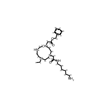 CCN1CCNCCN(CC(=O)OCc2ccccc2)CCN(CC(=O)NCCCCCCN)CC1